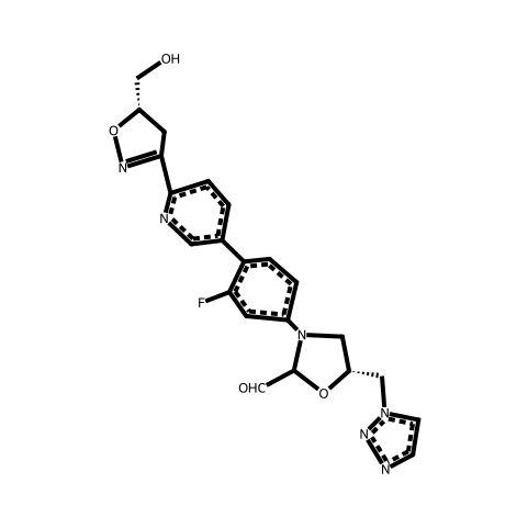 O=CC1O[C@@H](Cn2ccnn2)CN1c1ccc(-c2ccc(C3=NO[C@H](CO)C3)nc2)c(F)c1